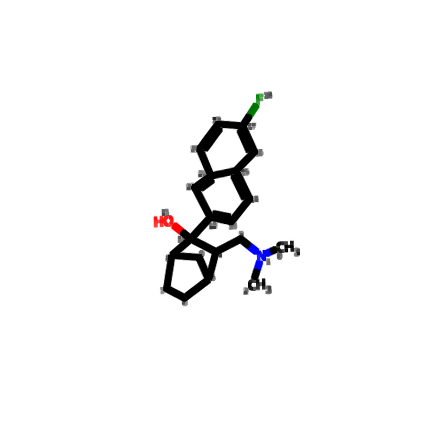 CN(C)CC1C2CCC(C2)C1(O)c1ccc2cc(F)ccc2c1